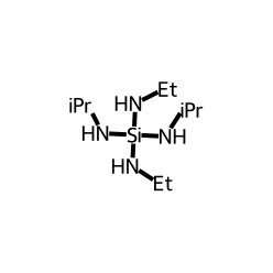 CCN[Si](NCC)(NC(C)C)NC(C)C